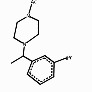 CC(=O)N1CCN(C(C)c2cccc(C(C)C)c2)CC1